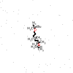 C[SiH](C)O[Si](C)(C)CC[Si](C)(C)CCCO[Si](C)(C)C(C)(C)C